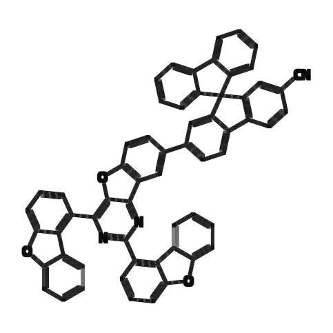 N#Cc1ccc2c(c1)C1(c3ccccc3-c3ccccc31)c1cc(-c3ccc4oc5c(-c6cccc7oc8ccccc8c67)nc(-c6cccc7oc8ccccc8c67)nc5c4c3)ccc1-2